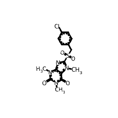 Cn1c(=O)c2c(nc(S(=O)(=O)Cc3ccc(Cl)cc3)n2C)n(C)c1=O